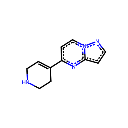 C1=C(c2ccn3nccc3n2)CCNC1